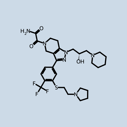 NC(=O)C(=O)N1CCc2c(c(-c3ccc(C(F)(F)F)c(SCCN4CCCC4)c3)nn2C[C@@H](O)CN2CCCCC2)C1